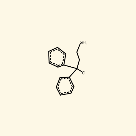 [SiH3]CCC(Cl)(c1ccccc1)c1ccccc1